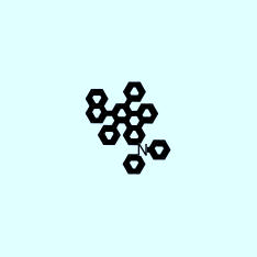 c1ccc(-c2cc(-c3cccc4ccccc34)c(-c3ccccc3)c3c4ccc(N(c5ccccc5)c5ccccc5)cc4c4ccccc4c23)cc1